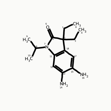 CCC1(CC)C(=O)N(C(C)C)c2cc(N)c(N)cc21